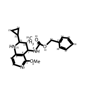 COc1nccc2c1C(NC(=O)OCc1ccccc1)[C@@H](C)C(C1CC1)N2